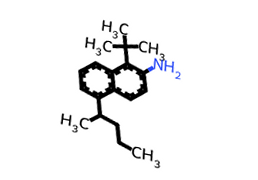 CCCC(C)c1cccc2c(C(C)(C)C)c(N)ccc12